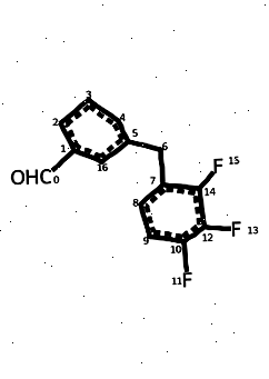 O=Cc1cccc(Cc2ccc(F)c(F)c2F)c1